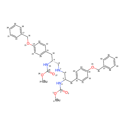 CC(C)(C)OC(=O)NC(CNC[C@@H](Cc1ccc(OCc2ccccc2)cc1)NC(=O)OC(C)(C)C)Cc1ccc(OCc2ccccc2)cc1